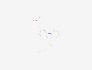 CCOC(=O)c1c2ccccc2n2cc(OCC(C)=O)ccc12